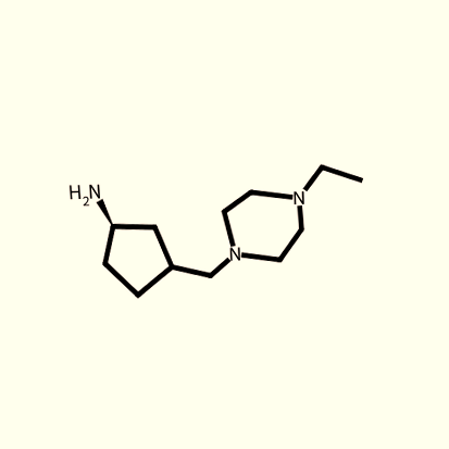 CCN1CCN(CC2CC[C@@H](N)C2)CC1